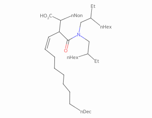 CCCCCCCCCCCCCCCC/C=C\C(C(=O)N(CC(CC)CCCCCC)CC(CC)CCCCCC)C(CCCCCCCCC)C(=O)O